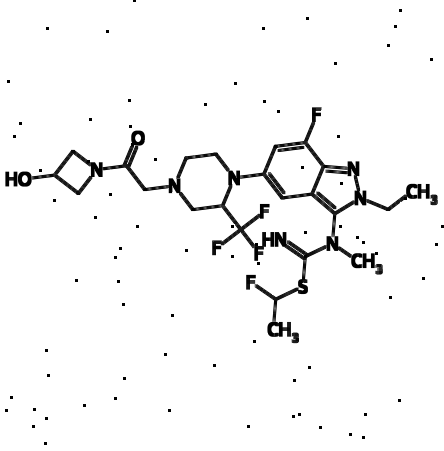 CCn1nc2c(F)cc(N3CCN(CC(=O)N4CC(O)C4)CC3C(F)(F)F)cc2c1N(C)C(=N)SC(C)F